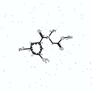 CCC(C)OC(=O)CN(C(=O)c1cc(C)cc(C(C)C)c1)C(C)C